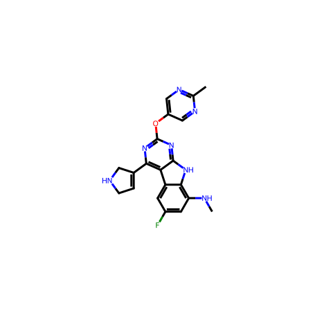 CNc1cc(F)cc2c1[nH]c1nc(Oc3cnc(C)nc3)nc(C3=CCNC3)c12